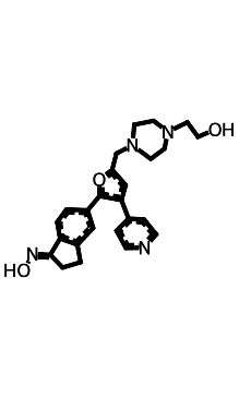 OCCN1CCN(Cc2cc(-c3ccncc3)c(-c3ccc4c(c3)CC/C4=N\O)o2)CC1